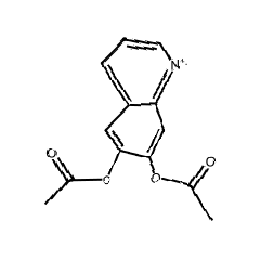 CC(=O)Oc1cc2c(cc1OC(C)=O)=[N+]C=CC=2